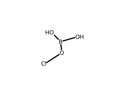 OB(O)OCl